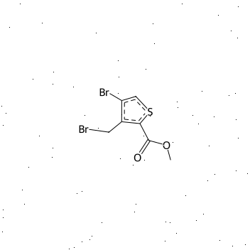 COC(=O)c1scc(Br)c1CBr